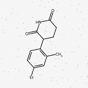 CCc1ccc(C2CCC(=O)NC2=O)c(C)c1